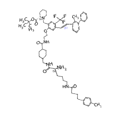 Cc1ccc(CCCC(=O)NCCCC[C@H](N)C(=O)NCC2CCC(C(=O)NCCOc3cc(/C=C/c4cccc(-c5ccccc5)c4C)c(C(F)(F)F)cc3CN3CCCC[C@H]3C(=O)OC(C)(C)C)CC2)cc1